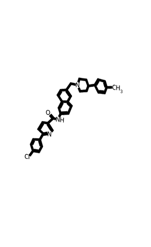 Cc1ccc(C2CCN(Cc3ccc4cc(NC(=O)c5ccc(-c6ccc(Cl)cc6)nc5)ccc4c3)CC2)cc1